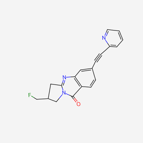 O=c1c2ccc(C#Cc3ccccn3)cc2nc2n1CC(CF)C2